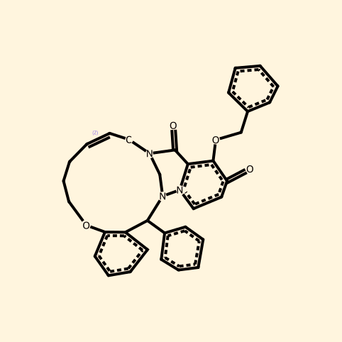 O=C1c2c(OCc3ccccc3)c(=O)ccn2N2CN1C/C=C\CCCOc1ccccc1C2c1ccccc1